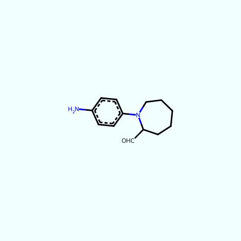 Nc1ccc(N2CCCCCC2C=O)cc1